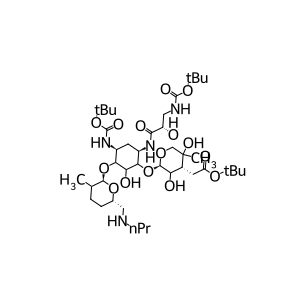 CCCNC[C@@H]1CCC(C)[C@@H](OC2C(O)C(O[C@H]3OCC(C)(O)[C@H](CC(=O)OC(C)(C)C)C3O)[C@H](NC(=O)[C@@H](O)CNC(=O)OC(C)(C)C)C[C@@H]2NC(=O)OC(C)(C)C)O1